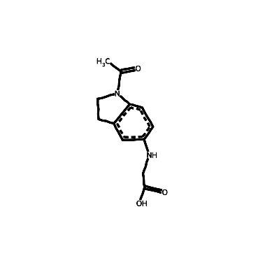 CC(=O)N1CCc2cc(NCC(=O)O)ccc21